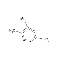 CCCc1[c]c([N+](=O)[O-])ccc1C